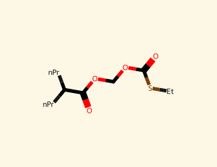 CCCC(CCC)C(=O)OCOC(=O)SCC